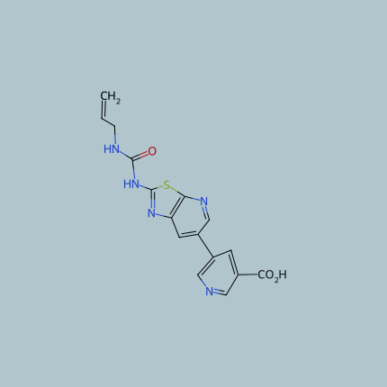 C=CCNC(=O)Nc1nc2cc(-c3cncc(C(=O)O)c3)cnc2s1